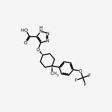 C[C@]1(c2ccc(OC(F)(F)F)cc2)CC[C@H](Oc2nn[nH]c2C(=O)O)CC1